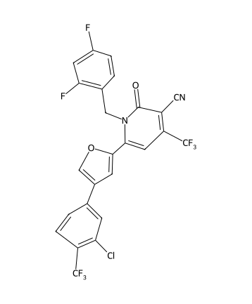 N#Cc1c(C(F)(F)F)cc(-c2cc(-c3ccc(C(F)(F)F)c(Cl)c3)co2)n(Cc2ccc(F)cc2F)c1=O